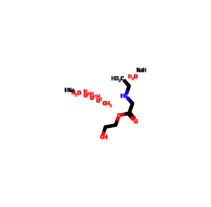 O.O.O.O.O.O.O=C(O)CNCC(=O)OCCO.[NaH].[NaH]